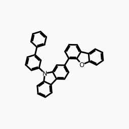 c1ccc(-c2cccc(-n3c4ccccc4c4ccc(-c5cccc6c5oc5ccccc56)cc43)c2)cc1